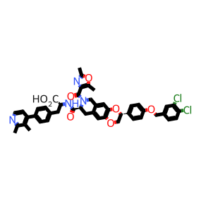 Cc1nc(C(=O)N2Cc3cc4c(cc3C[C@H]2C(=O)N[C@@H](Cc2ccc(-c3ccnc(C)c3C)cc2)C(=O)O)OC[C@@H](c2ccc(OCc3ccc(Cl)c(Cl)c3)cc2)O4)c(C)o1